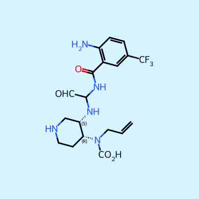 C=CCN(C(=O)O)[C@@H]1CCNC[C@@H]1NC(C=O)NC(=O)c1cc(C(F)(F)F)ccc1N